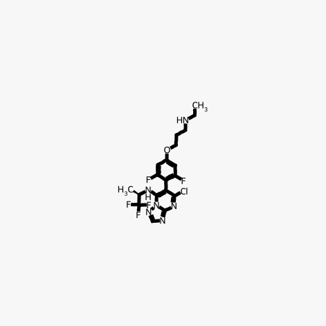 CCNCCCOc1cc(F)c(-c2c(Cl)nc3ncnn3c2N[C@H](C)C(F)(F)F)c(F)c1